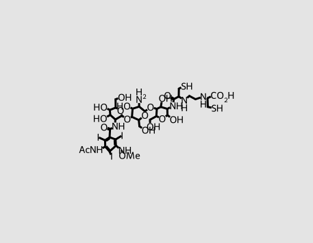 CONc1c(I)c(NC(C)=O)c(I)c(C(=O)NC2C(OC3C(CO)OC(OC4C(CO)OC(O)C(NC(=O)C(CS)NCCNC(CS)C(=O)O)C4O)C(N)C3O)OC(CO)C(O)C2O)c1I